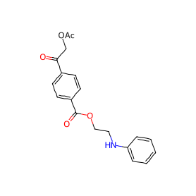 CC(=O)OCC(=O)c1ccc(C(=O)OCCNc2ccccc2)cc1